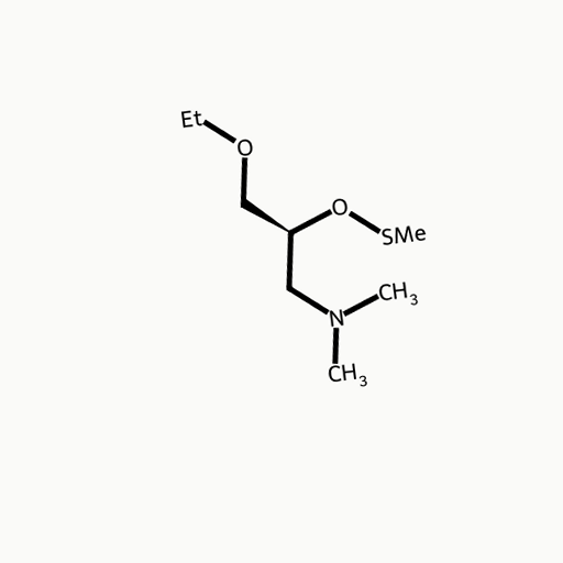 CCOC[C@H](CN(C)C)OSC